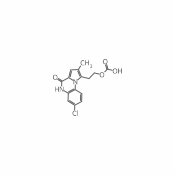 Cc1cc2c(=O)[nH]c3cc(Cl)ccc3n2c1CCOC(=O)O